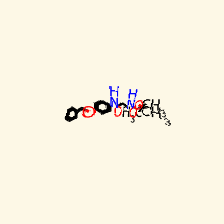 CC(C)(C)OC(=O)NCCC(=O)Nc1ccc(OCc2ccccc2)cc1